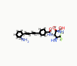 N=C(C(F)F)[C@H](NC(=O)c1ccc(C#CC#Cc2ccccc2N)cc1)C(=O)NO